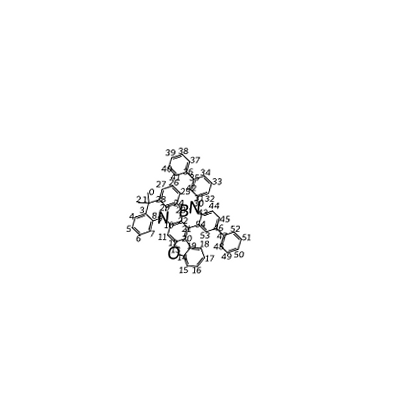 CC1(C)c2ccccc2N2c3cc4oc5ccccc5c4c4c3B(c3cccc1c32)N(c1cccc(-c2ccccc2)c1)c1ccc(-c2ccccc2)cc1-4